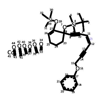 CC(C)(C)[Si](C)(C)OC1(C#C/C=C\C#CCOc2ccccc2)CCCC=C1O[Si](C)(C)C.[C]=O.[C]=O.[C]=O.[C]=O.[C]=O.[C]=O.[Co]